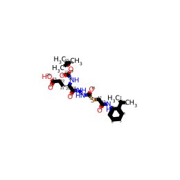 CC(C)c1ccccc1NC(=O)CSC(=O)NNC(=O)[C@H](CCC(=O)O)NC(=O)OC(C)(C)C